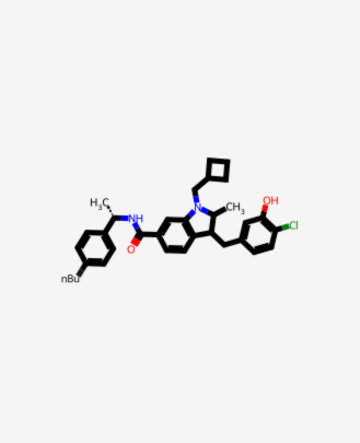 CCCCc1ccc([C@H](C)NC(=O)c2ccc3c(c2)N(CC2CCC2)C(C)C3Cc2ccc(Cl)c(O)c2)cc1